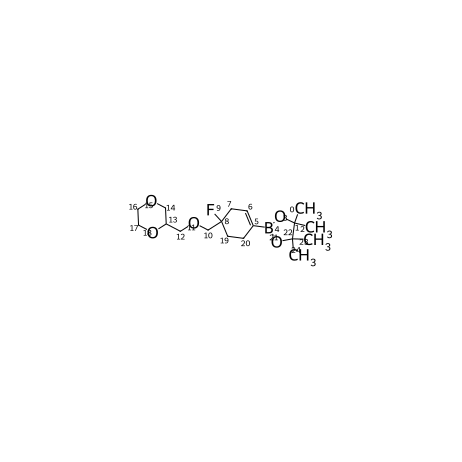 CC1(C)OB(C2=CCC(F)(COCC3COCCO3)CC2)OC1(C)C